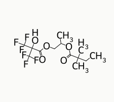 CCC(C)(C)C(=O)OC(C)COC(=O)C(O)(C(F)(F)F)C(F)(F)F